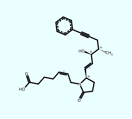 C[C@@H](CC#Cc1ccccc1)[C@H](O)/C=C/[C@H]1CCC(=O)N1C/C=C\CCCC(=O)O